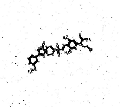 Cc1cc(N(CCO)C(N)=O)cc(C)c1C=CS(=O)(=O)N1CCC2(CC1)N=C(c1cccc(OC(F)(F)F)c1)NC2=O